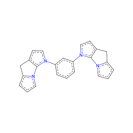 c1cc(-n2ccc3c2-n2cccc2C3)cc(-n2ccc3c2-n2cccc2C3)c1